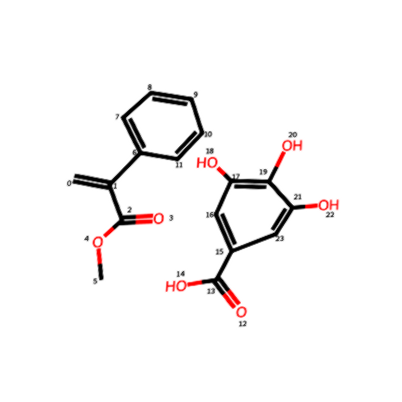 C=C(C(=O)OC)c1ccccc1.O=C(O)c1cc(O)c(O)c(O)c1